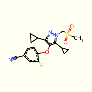 CS(=O)(=O)Cn1nc(C2CC2)c(Oc2ccc(C#N)cc2F)c1C1CC1